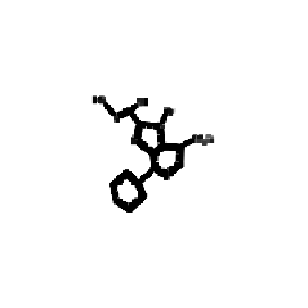 CCOC(=O)c1cnc(-c2ccccc2)c2nc(C(C#N)=NO)n(C(C)C)c12